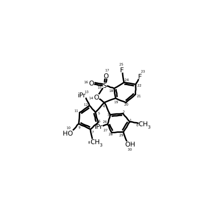 Cc1cc(C2(c3cc(C)c(O)cc3C(C)C)OS(=O)(=O)c3c2ccc(F)c3F)c(C(C)C)cc1O